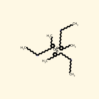 CCCCCCCC/C=C\CCCCCCCCc1cc(CCCCC)ccc1OP(Oc1ccc(CCCCC)cc1CCCCCCCC/C=C\CCCCCCCC)Oc1ccc(CCCCC)cc1CCCCCCCC/C=C\CCCCCCCC